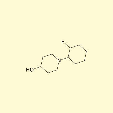 OC1CCN(C2CCCCC2F)CC1